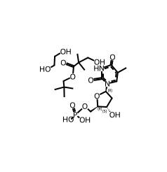 CC(C)(C)COC(=O)C(C)(C)CO.Cc1cn([C@H]2C[C@H](O)[C@@H](COP(=O)(O)O)O2)c(=O)[nH]c1=O.OCCO